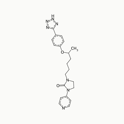 CC(CCCCN1CCN(c2ccncc2)C1=O)Oc1ccc(-c2nn[nH]n2)cc1